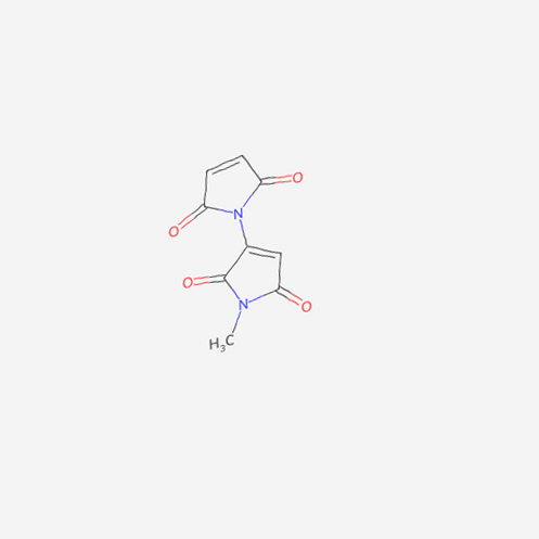 CN1C(=O)C=C(N2C(=O)C=CC2=O)C1=O